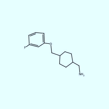 NCC1CCC(COc2cccc(F)c2)CC1